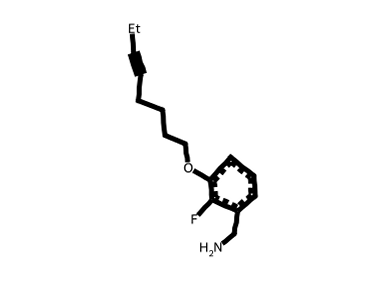 CCC#CCCCCOc1cccc(CN)c1F